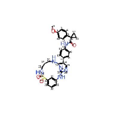 COc1ccc(C2(C(=O)Nc3ccc(-c4cnc5nc4NCCCNS(=O)(=O)c4cccc(c4)N5)cc3)CC2)cc1